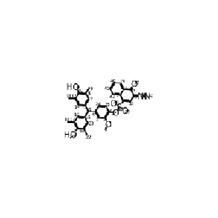 COc1cc(C(c2cc(C)c(O)c(C)c2)c2cc(C)c(O)c(C)c2)ccc1OS(=O)(=O)C1=CC(=[N+]=[N-])C(=O)c2ccccc21